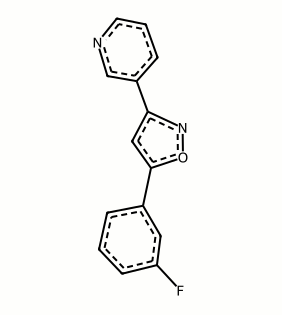 Fc1cccc(-c2cc(-c3cccnc3)no2)c1